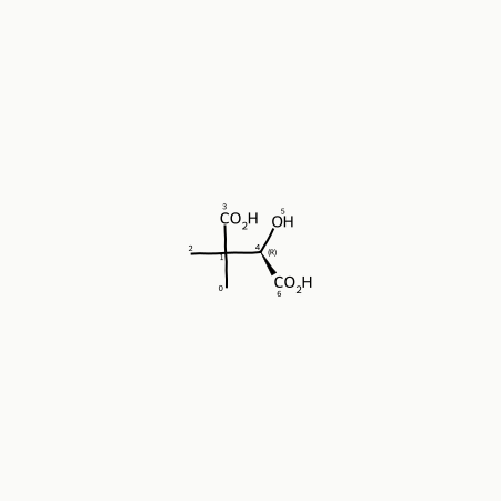 CC(C)(C(=O)O)[C@@H](O)C(=O)O